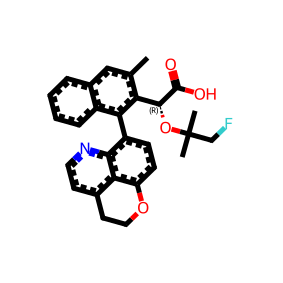 Cc1cc2ccccc2c(-c2ccc3c4c(ccnc24)CCO3)c1[C@@H](OC(C)(C)CF)C(=O)O